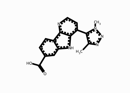 Cc1nnn(C)c1-c1ccnc2c1[nH]c1cc(C(=O)O)ccc12